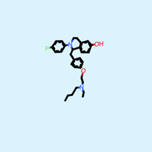 CCCCN(CC)CCOc1ccc(CC2c3ccc(O)cc3CCN2c2ccc(F)cc2)cc1